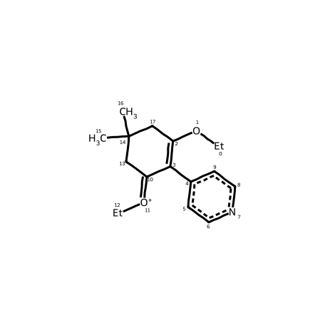 CCOC1=C(c2ccncc2)C(=[O+]CC)CC(C)(C)C1